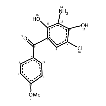 COc1ccc(C(=O)c2cc(Cl)c(O)c(N)c2O)cc1